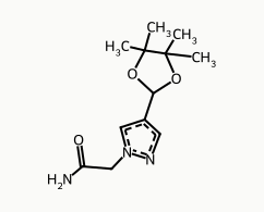 CC1(C)OC(c2cnn(CC(N)=O)c2)OC1(C)C